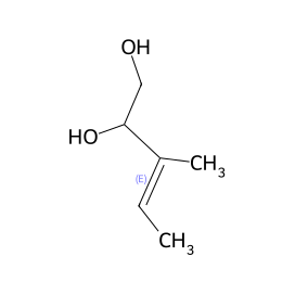 C/C=C(\C)C(O)CO